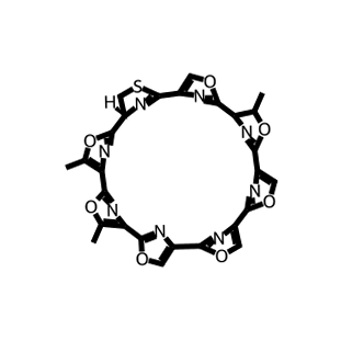 Cc1oc2nc1-c1nc(co1)-c1nc(co1)-c1nc(co1)C1=NC(c3nc(co3)C3=N[C@@H](CS3)c3nc-2c(C)o3)C(C)O1